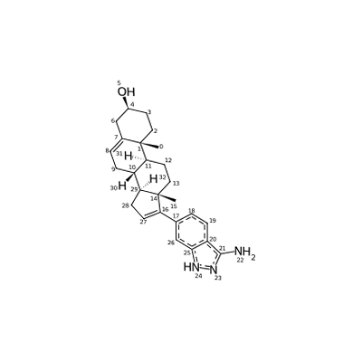 C[C@]12CC[C@H](O)CC1=CC[C@@H]1[C@@H]2CC[C@]2(C)C(c3ccc4c(N)n[nH]c4c3)=CC[C@@H]12